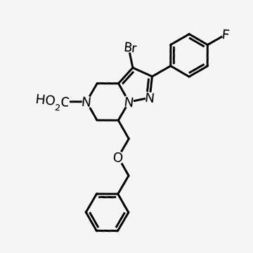 O=C(O)N1Cc2c(Br)c(-c3ccc(F)cc3)nn2C(COCc2ccccc2)C1